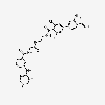 N=Cc1ccc(-c2cc(Cl)c(C(=O)NCCNC(=O)CNC(=O)c3cccc(NC4=NCC(F)CN4)c3)c(Cl)c2)cc1N